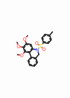 COc1cc2c(c(OC)c1OC)-c1ccccc1CN2S(=O)(=O)c1ccc(C)cc1